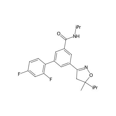 CC(C)NC(=O)c1cc(C2=NOC(C)(C(C)C)C2)cc(-c2ccc(F)cc2F)c1